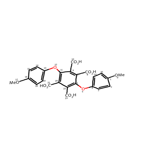 COc1ccc(Oc2c(C(=O)O)c(C(=O)O)c(Oc3ccc(OC)cc3)c(C(=O)O)c2C(=O)O)cc1